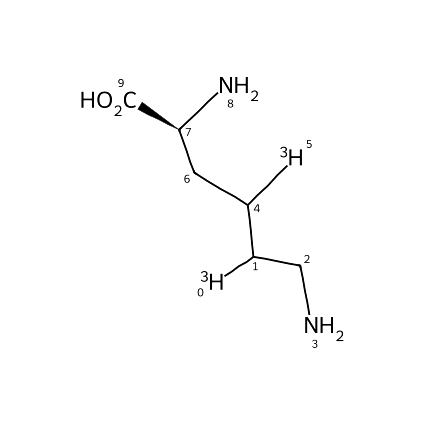 [3H]C(CN)C([3H])C[C@H](N)C(=O)O